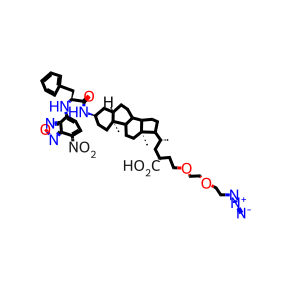 C[C@H](CC(CCOCCOCCN=[N+]=[N-])C(=O)O)C1CCC2C3CC[C@@H]4C[C@H](NC(=O)[C@H](Cc5ccccc5)Nc5ccc([N+](=O)[O-])c6nonc56)CC[C@]4(C)C3CC[C@@]21C